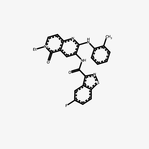 CCn1ccc2nc(Nc3ccccc3C)c(NC(=O)c3nsc4ccc(F)cc34)cc2c1=O